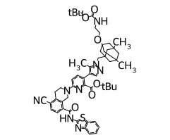 Cc1c(-c2ccc(N3CCc4c(C#N)ccc(C(=O)Nc5nc6ccccc6s5)c4C3)nc2C(=O)OC(C)(C)C)cnn1CC12CC3(C)CC(C)(C1)CC(OCCNC(=O)OC(C)(C)C)(C3)C2